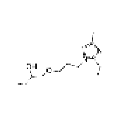 CCc1nc(C)cn1CCCOCC(O)CC